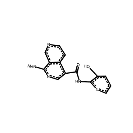 CNc1ncc(C(=O)Nc2ncccc2O)c2ccncc12